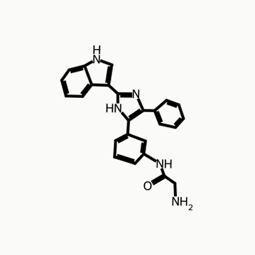 NCC(=O)Nc1cccc(-c2[nH]c(-c3c[nH]c4ccccc34)nc2-c2ccccc2)c1